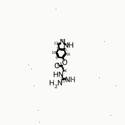 N=C(N)NCC(=O)Oc1ccc2cn[nH]c2c1